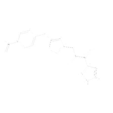 CC(=O)c1ccc(Cc2cc(CC(=O)C(=O)c3nn[nH]n3)co2)cc1